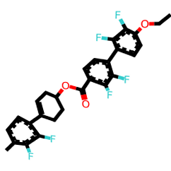 CCOc1ccc(-c2ccc(C(=O)OC3CC=C(c4ccc(C)c(F)c4F)CC3)c(F)c2F)c(F)c1F